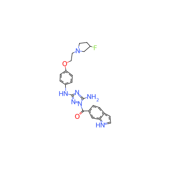 Nc1nc(Nc2ccc(OCCN3CCC(F)C3)cc2)nn1C(=O)c1ccc2cc[nH]c2c1